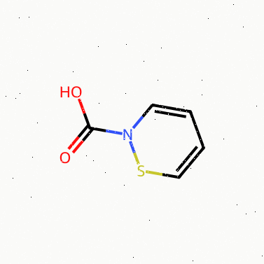 O=C(O)N1C=CC=CS1